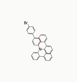 Brc1ccc(-c2ccc(N(c3ccccc3-c3ccccc3)c3ccccc3-c3ccccc3)cc2)cc1